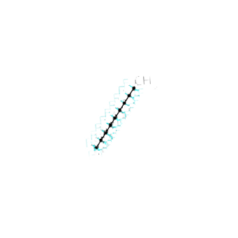 CC(F)(F)C(F)(F)C(F)(F)C(F)(F)C(F)(F)C(F)(F)C(F)(F)C(F)(F)C(F)(F)F